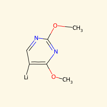 [Li][c]1cnc(OC)nc1OC